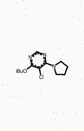 CC(C)COc1ncnc(N2CCCC2)c1Cl